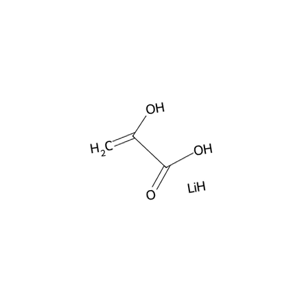 C=C(O)C(=O)O.[LiH]